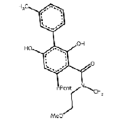 CCCCCc1cc(O)c(-c2cccc(C)c2)c(O)c1C(=O)N(C)CCOC